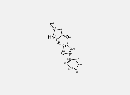 O=C1CC(=S)NC1=Cc1ccc(-c2ccccc2)o1